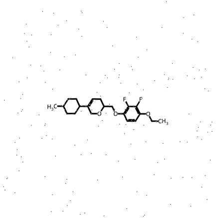 CCOc1ccc(OCC2CC=C(C3CCC(C)CC3)CO2)c(F)c1F